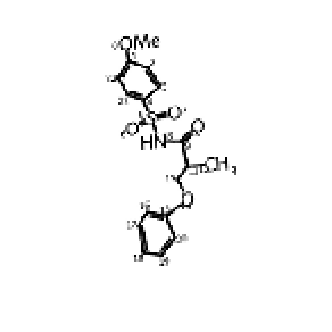 COc1ccc(S(=O)(=O)NC(=O)C(C)COc2ccccc2)cc1